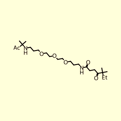 CCC(C)(C)C(=O)CCC(=O)NCCCOCCOCCOCCCNC(C)(C)C(C)=O